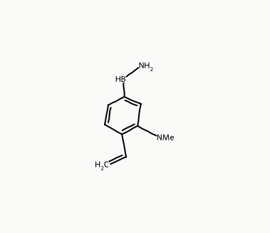 C=Cc1ccc(BN)cc1NC